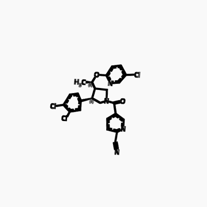 C[C@@H](Oc1ccc(Cl)cn1)C1CN(C(=O)c2ccc(C#N)nc2)C[C@H]1c1ccc(Cl)c(Cl)c1